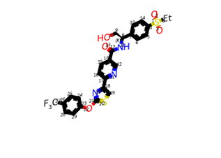 CCS(=O)(=O)c1ccc([C@H](CO)NC(=O)c2ccc(-c3csc(Oc4ccc(C(F)(F)F)cc4)n3)nc2)cc1